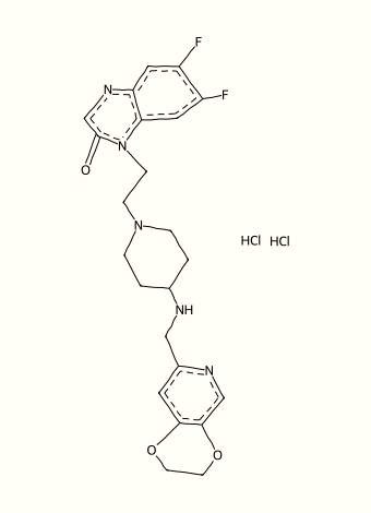 Cl.Cl.O=c1cnc2cc(F)c(F)cc2n1CCN1CCC(NCc2cc3c(cn2)OCCO3)CC1